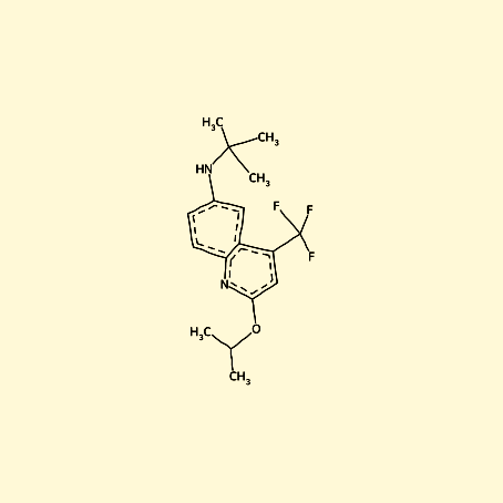 CC(C)Oc1cc(C(F)(F)F)c2cc(NC(C)(C)C)ccc2n1